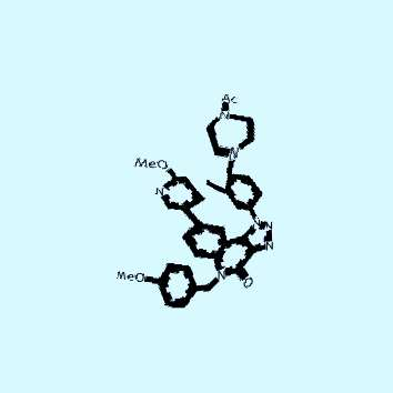 COc1ccc(Cn2c(=O)c3nnn(-c4ccc(N5CCN(C(C)=O)CC5)c(C)c4)c3c3cc(-c4ccc(OC)nc4)ccc32)cc1